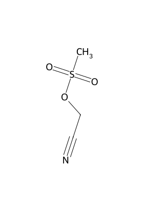 CS(=O)(=O)OCC#N